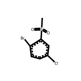 CS(=O)(=O)c1cc(Cl)ccc1Br